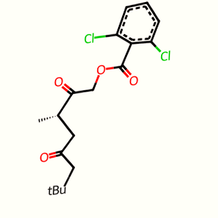 C[C@@H](CC(=O)CC(C)(C)C)C(=O)COC(=O)c1c(Cl)cccc1Cl